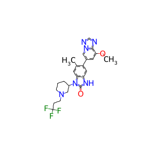 COc1cc(-c2cc3[nH]c(=O)n(C4CCCN(CCC(F)(F)F)C4)c3cc2C)cn2ncnc12